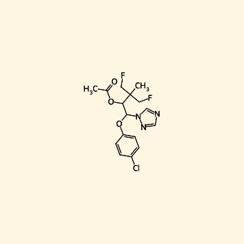 CC(=O)OC(C(Oc1ccc(Cl)cc1)n1cncn1)C(C)(CF)CF